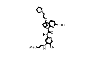 COCCNc1cc(NC(=O)N2c3nc(C=O)ccc3C3(OCCN4CCCC4)CC2C3)ncc1C#N